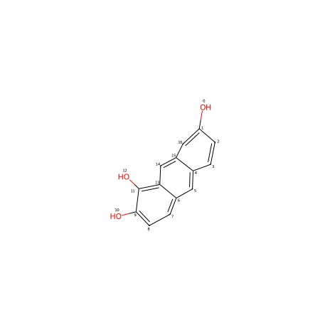 Oc1ccc2cc3ccc(O)c(O)c3cc2c1